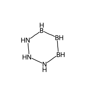 B1BNNNB1